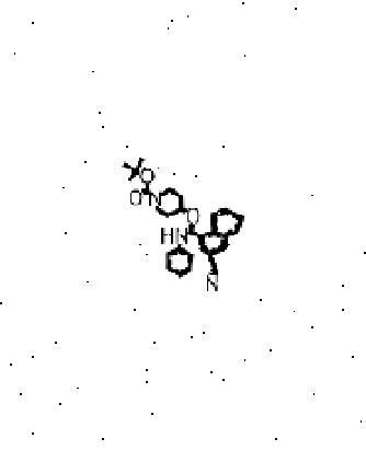 CC(C)(C)OC(=O)N1CCC(OC(Nc2ccccc2)c2cc(C#N)cc3ccccc23)CC1